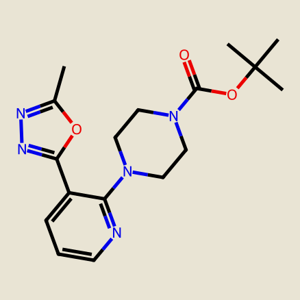 Cc1nnc(-c2cccnc2N2CCN(C(=O)OC(C)(C)C)CC2)o1